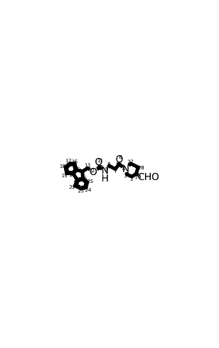 O=CC1CCN(C(=O)CCNC(=O)OCC2c3ccccc3-c3ccccc32)CC1